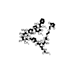 CC[C@H](C)[C@@H]([C@@H](CC(=O)N1CCC[C@H]1[C@H](OC)[C@@H](C)C(=O)N[C@H](C)[C@@H](O)c1ccccc1)OC)N(C)C(=O)C(NC(=O)[C@H](C(C)C)N(C)C(=O)OCc1ccc(NC(=O)[C@H](CCCNC(N)=O)NC(=O)[C@@H](NC(=O)COCCOCCN2C(=O)C=CC2=O)C(C)C)cc1)C(C)C